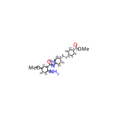 COC(=O)c1ccc(CCc2ccc(NC(=O)c3cc(OC)ccc3N)cc2)cc1